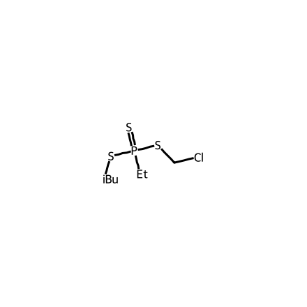 CCC(C)SP(=S)(CC)SCCl